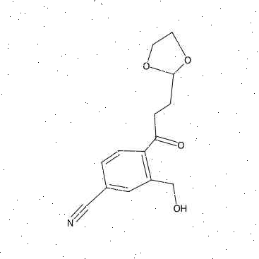 N#Cc1ccc(C(=O)CCC2OCCO2)c(CO)c1